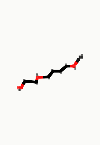 CCOCCCCOCCO